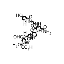 CC(C)C[C@H](NC(=O)[C@H](CCC(N)=O)NC(=O)CNC(=O)[C@@H]1C[C@@H](O)CN1)C(=O)NCC(=O)N[C@](C=O)(CN[C@@H](C)C(=O)O)CC(C)C